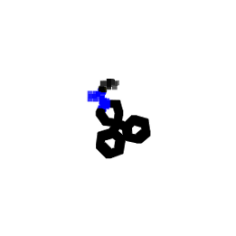 CCCNN1CCC(c2ccccc2)(c2ccccc2)CC1